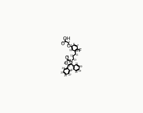 O=C(O)COc1ccc(F)c(CCCn2c(-c3ccccc3)c(-c3ccccc3)oc2=O)c1